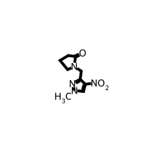 Cn1cc([N+](=O)[O-])c(CN2CCCC2=O)n1